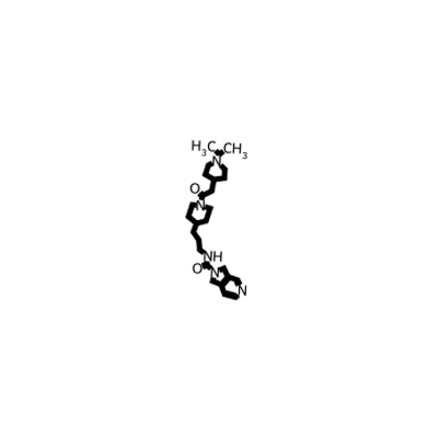 CC(C)N1CCC(CC(=O)N2CCC(CCCNC(=O)N3Cc4ccncc4C3)CC2)CC1